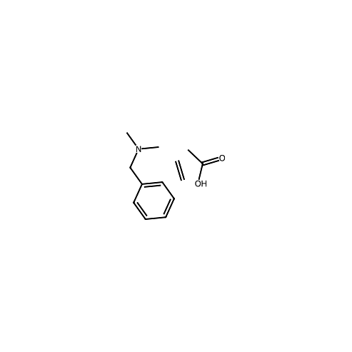 C=C.CC(=O)O.CN(C)Cc1ccccc1